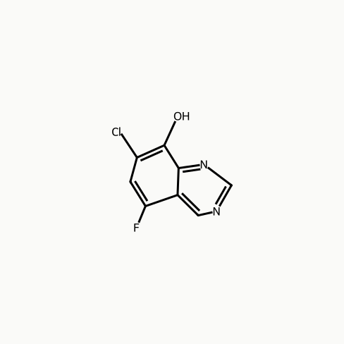 Oc1c(Cl)cc(F)c2cncnc12